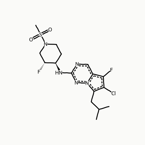 CC(C)Cc1c(Cl)c(F)c2cnc(N[C@@H]3CCN(S(C)(=O)=O)C[C@H]3F)nn12